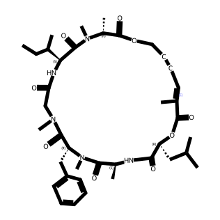 CCC(C)[C@@H]1NC(=O)CN(C)C(=O)[C@@H](Cc2ccccc2)N(C)C(=O)[C@H](C)NC(=O)[C@@H](CC(C)C)OC(=O)/C(C)=C/CCCOC(=O)[C@@H](C)N(C)C1=O